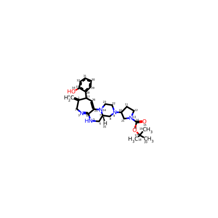 C=C1CN=C2NC[C@H]3CN(C4CCN(C(=O)OC(C)(C)C)C4)CCN3C2=CC1c1ccccc1O